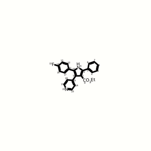 CCOC(=O)c1c(-c2ccccc2)[nH]c(-c2ccc(F)cc2)c1-c1ccncc1